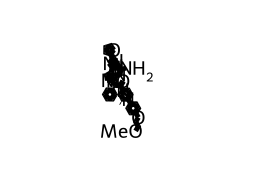 COCCOc1ccc(N2CCN(C(=O)[C@@H](c3ccccc3)n3ncc4c3nc(N)n3nc(-c5ccco5)nc43)C[C@H]2C)cc1